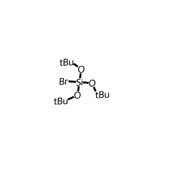 CC(C)(C)O[Si](Br)(OC(C)(C)C)OC(C)(C)C